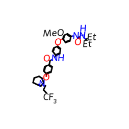 CCC(CC)NC(=O)Nc1ccc(Oc2ccc(NC(=O)c3ccc(OC45CCCC(CC4)N5CCCC(F)(F)F)cc3)cc2)c(OC)c1